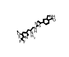 COc1cc(CC(N)CNc2ncc(-c3ccc4c(c3)CNC4=O)s2)cnc1C(F)(F)F